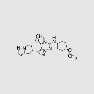 COc1nc(N[C@H]2CC[C@H](OC)CC2)nn2ccc(-c3ccn4nccc4c3)c12